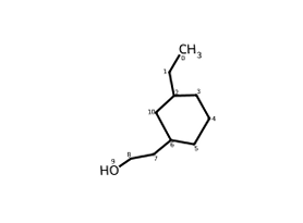 CCC1CCCC(CCO)C1